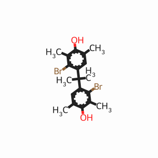 Cc1cc(C(C)(C)c2cc(C)c(O)c(C)c2Br)c(Br)c(C)c1O